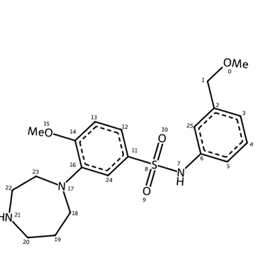 COCc1cccc(NS(=O)(=O)c2ccc(OC)c(N3CCCNCC3)c2)c1